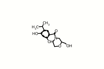 CC(C)c1cc(C(=O)N2CCOC(CO)C2)c(O)cc1O